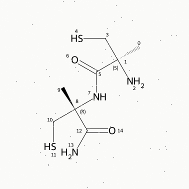 C[C@@](N)(CS)C(=O)N[C@@](C)(CS)C(N)=O